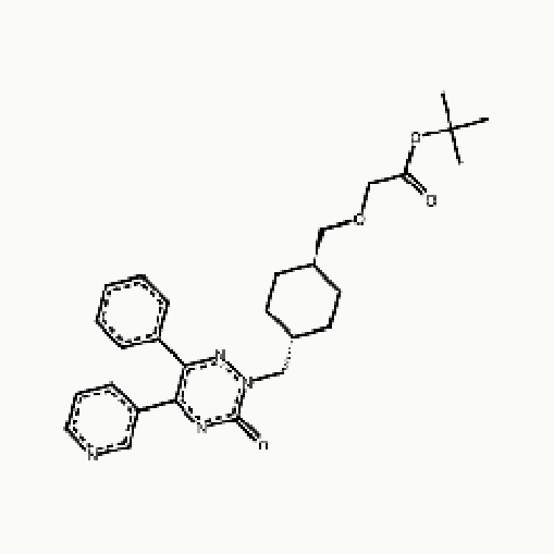 CC(C)(C)OC(=O)COC[C@H]1CC[C@H](Cn2nc(-c3ccccc3)c(-c3cccnc3)nc2=O)CC1